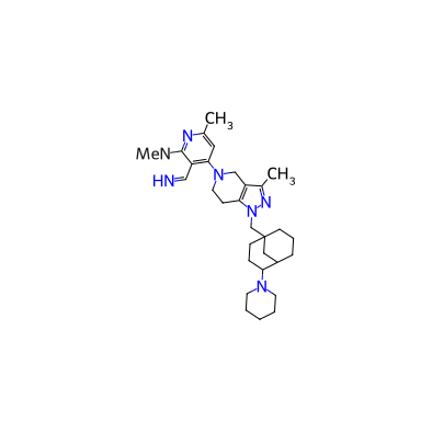 CNc1nc(C)cc(N2CCc3c(c(C)nn3CC34CCCC(C3)C(N3CCCCC3)CC4)C2)c1C=N